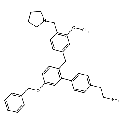 COc1cc(Cc2ccc(OCc3ccccc3)cc2-c2ccc(CCN)cc2)ccc1CN1CCCC1